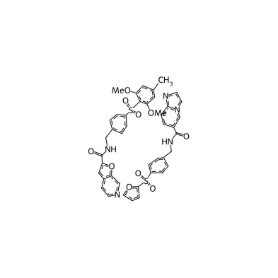 COc1cc(C)cc(OC)c1S(=O)(=O)c1ccc(CNC(=O)c2cc3ccncc3o2)cc1.O=C(NCc1ccc(S(=O)(=O)c2ccco2)cc1)c1ccc2nccn2c1